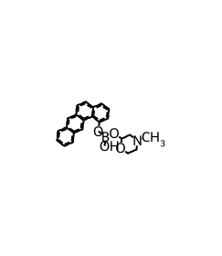 CN1CCOC(OB(O)Oc2cccc3ccc4cc5ccccc5cc4c23)C1